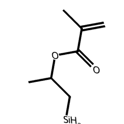 C=C(C)C(=O)OC(C)C[SiH3]